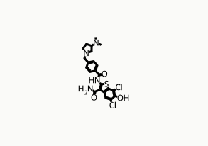 CN(C)C1CCN(Cc2ccc(C(=O)Nc3sc4c(Cl)c(O)c(Cl)cc4c3C(N)=O)cc2)C1